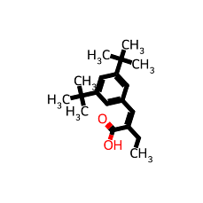 CCC(=Cc1cc(C(C)(C)C)cc(C(C)(C)C)c1)C(=O)O